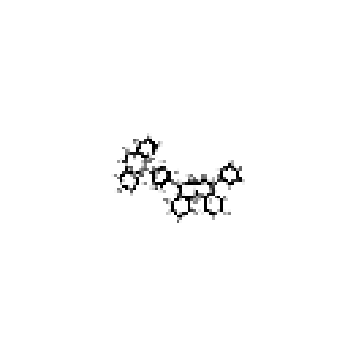 C1=Cc2c(c(-c3ccccc3)cc3cc(-c4ccc(N5c6ccccc6C=Cc6ccccc65)cc4)c4ccccc4c23)CC1